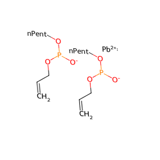 C=CCOP([O-])OCCCCC.C=CCOP([O-])OCCCCC.[Pb+2]